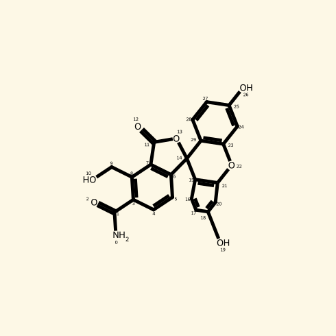 NC(=O)c1ccc2c(c1CO)C(=O)OC21c2ccc(O)cc2Oc2cc(O)ccc21